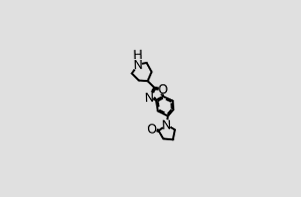 O=C1CCCN1c1ccc2oc(C3CCNCC3)nc2c1